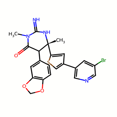 CN1C(=N)N[C@](C)(c2cc(-c3cncc(Br)c3)cs2)C(c2ccc3c(c2)OCO3)C1=O